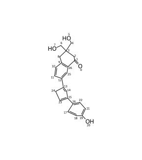 O=C1CC(CO)(CO)Cc2ccc(C3=CC(c4ccc(O)cc4)=CC3)cc21